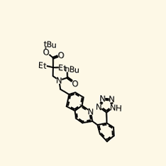 CCCCC(=O)N(Cc1ccc2nc(-c3ccccc3-c3nnn[nH]3)ccc2c1)CC(CC)(CC)C(=O)OC(C)(C)C